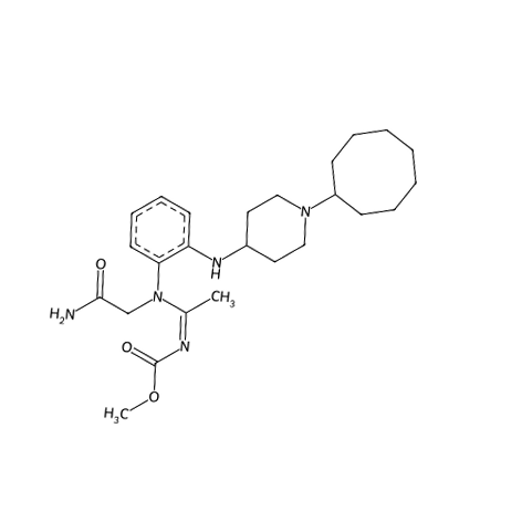 COC(=O)/N=C(/C)N(CC(N)=O)c1ccccc1NC1CCN(C2CCCCCCC2)CC1